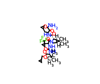 CC(C)(C)[C@H](NC(=O)N[C@H](C(=O)N1C[C@H]2[C@@H]([C@H]1C(=O)NC(CC1CC1)C(=O)C(N)=O)C2(C)C)C1(C(F)(F)F)CC1)C(=O)OCC1CC1